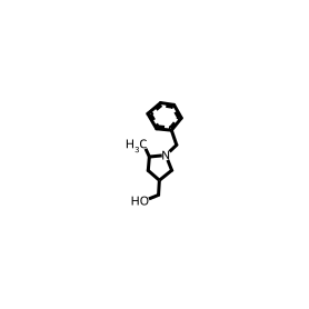 CC1CC(CO)CN1Cc1ccccc1